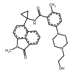 Cc1ccc(N2CCN(CCO)CC2)cc1C(=O)NC1(c2ccc3c4c(cccc24)C(=O)N3C)CC1